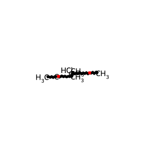 CCCCCCCCCCCCCCCC(C)OC(C)CCCCCCCCCCCCCCC.Cl